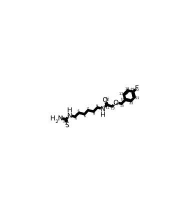 NC(=S)NCCCCCCNC(=O)COCc1ccc(F)cc1